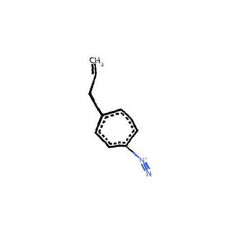 C=CCc1ccc([N+]#N)cc1